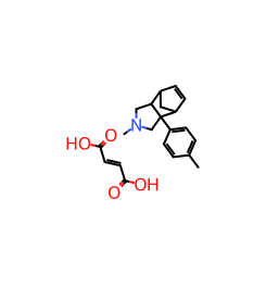 Cc1ccc(C23CN(C)CC2C2C=CC3C2)cc1.O=C(O)C=CC(=O)O